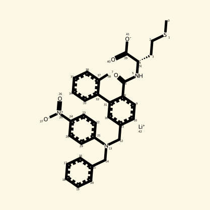 CSCC[C@H](NC(=O)c1ccc(CN(Cc2ccccc2)c2ccc([N+](=O)[O-])cc2)cc1-c1ccccc1C)C(=O)[O-].[Li+]